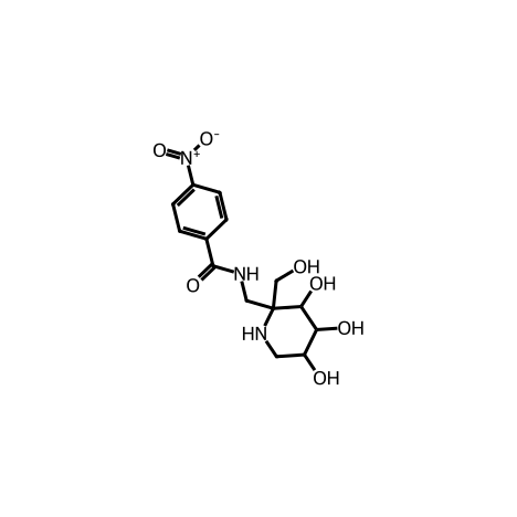 O=C(NCC1(CO)NCC(O)C(O)C1O)c1ccc([N+](=O)[O-])cc1